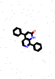 O=c1cc(-c2ccccc2)c2ccnc(-c3ccccc3)c2[nH]1